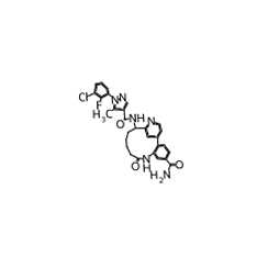 Cc1c(C(=O)NC2CCCCC(=O)Nc3cc(C(N)=O)ccc3-c3ccnc2c3)cnn1-c1cccc(Cl)c1F